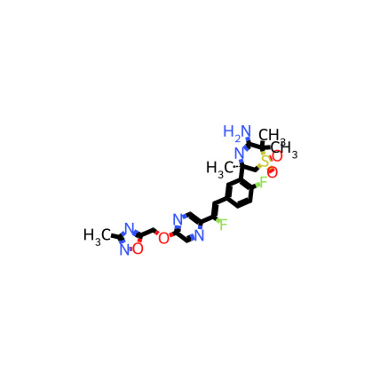 Cc1noc(COc2cnc(/C(F)=C/c3ccc(F)c([C@]4(C)CS(=O)(=O)C(C)(C)C(N)=N4)c3)cn2)n1